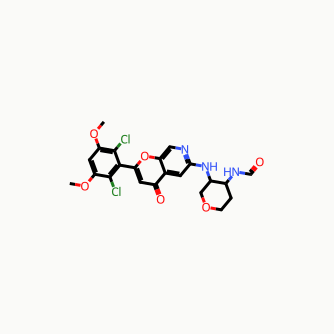 COc1cc(OC)c(Cl)c(-c2cc(=O)c3cc(NC4COCCC4NC=O)ncc3o2)c1Cl